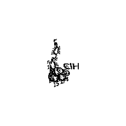 Cl.Fc1ccc(CCN2CCC(N3CCCc4ccc5c(c43)OCO5)CC2)cc1